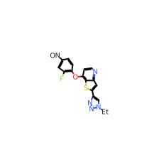 CCn1cc(-c2cc3nccc(Oc4ccc(N=O)cc4F)c3s2)nn1